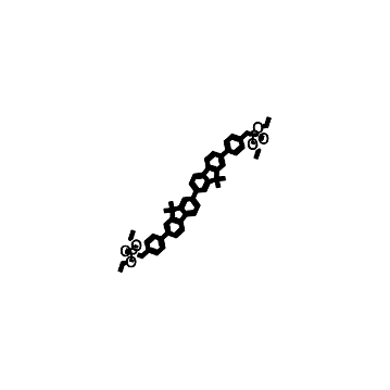 CCOP(=O)(Cc1ccc(-c2ccc3c(c2)C(C)(C)c2cc(-c4ccc5c(c4)C(C)(C)c4cc(-c6ccc(CP(=O)(OCC)OCC)cc6)ccc4-5)ccc2-3)cc1)OCC